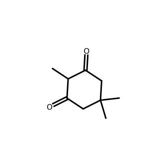 CC1C(=O)CC(C)(C)CC1=O